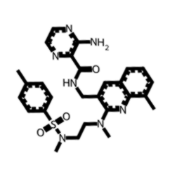 Cc1ccc(S(=O)(=O)N(C)CCN(C)c2nc3c(C)cccc3cc2CNC(=O)c2nccnc2N)cc1